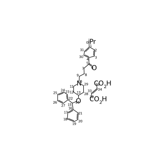 CC(C)c1ccc(C(=O)CCCN2CCC(OC(c3ccccc3)c3ccccc3)CC2)cc1.O=C(O)C=CC(=O)O